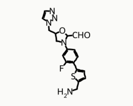 NCc1ccc(-c2ccc(N3CC(Cn4ccnn4)OC3C=O)cc2F)s1